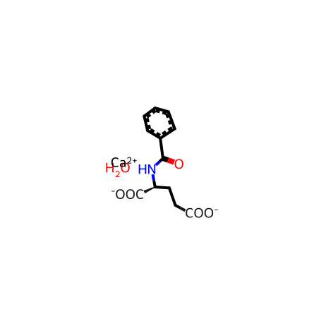 O.O=C([O-])CC[C@H](NC(=O)c1ccccc1)C(=O)[O-].[Ca+2]